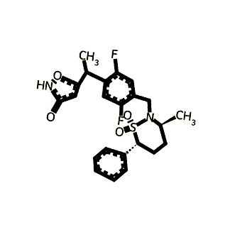 CC(c1cc(=O)[nH]o1)c1cc(F)c(CN2[C@@H](C)CC[C@H](c3ccccc3)S2(=O)=O)cc1F